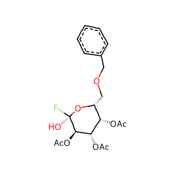 CC(=O)O[C@@H]1[C@H](OC(C)=O)[C@@H](OC(C)=O)[C@@](O)(F)O[C@@H]1COCc1ccccc1